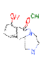 Cl.O=C1c2c(O)cccc2C2CNCCN12